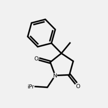 CC(C)CN1C(=O)CC(C)(c2ccccc2)C1=O